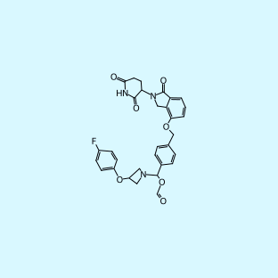 O=COC(c1ccc(COc2cccc3c2CN(C2CCC(=O)NC2=O)C3=O)cc1)N1CC(Oc2ccc(F)cc2)C1